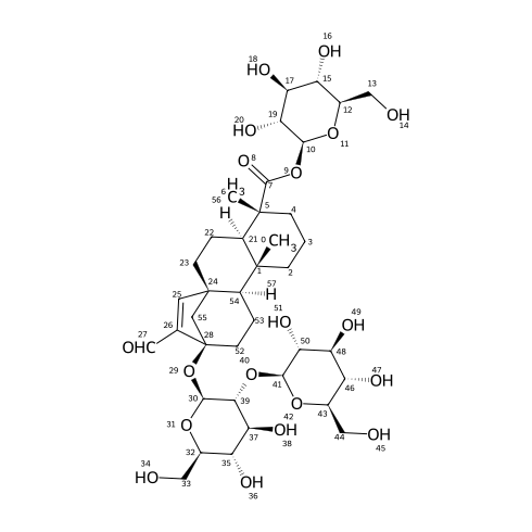 C[C@]12CCC[C@@](C)(C(=O)O[C@@H]3O[C@H](CO)[C@@H](O)[C@H](O)[C@H]3O)[C@@H]1CC[C@@]13C=C(C=O)[C@@](O[C@@H]4O[C@H](CO)[C@@H](O)[C@H](O)[C@H]4O[C@@H]4O[C@H](CO)[C@@H](O)[C@H](O)[C@H]4O)(CC[C@@H]12)C3